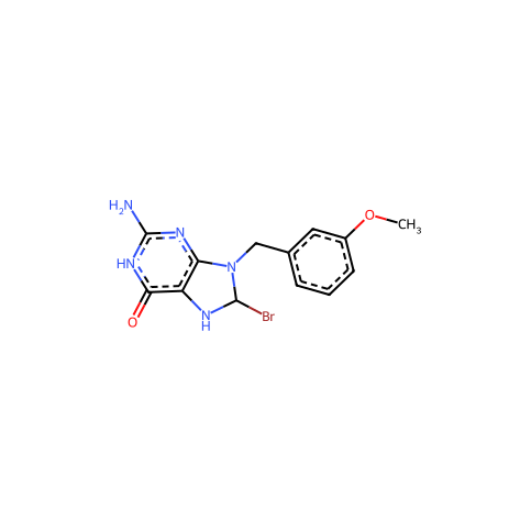 COc1cccc(CN2c3nc(N)[nH]c(=O)c3NC2Br)c1